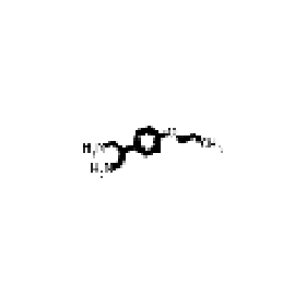 CCCOc1ccc(C(CN)CN)cc1